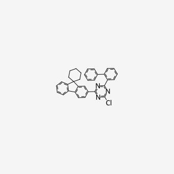 Clc1nc(-c2ccc3c(c2)C2(CCCCC2)c2ccccc2-3)nc(-c2ccccc2-c2ccccc2)n1